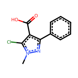 Cn1nc(-c2ccccc2)c(C(=O)O)c1Cl